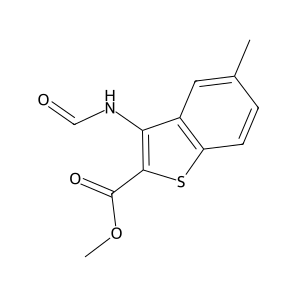 COC(=O)c1sc2ccc(C)cc2c1NC=O